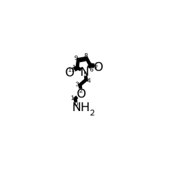 NCOCCN1C(=O)C=CC1=O